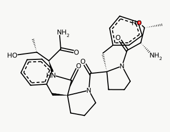 C[C@@H](O)[C@H](N)C(=O)N1CCC[C@@]1(Cc1ccccc1)C(=O)N1CCC[C@]1(Cc1ccccc1)C(=O)N[C@H](C(N)=O)[C@@H](C)O